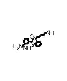 CNCCCCCN1C(=O)C(c2cccc(C(=N)N)c2)Sc2ccccc21